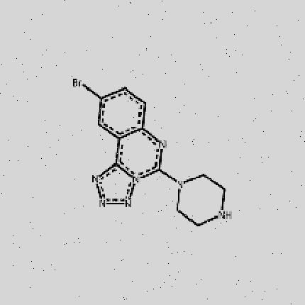 Brc1ccc2nc(N3CCNCC3)n3nnnc3c2c1